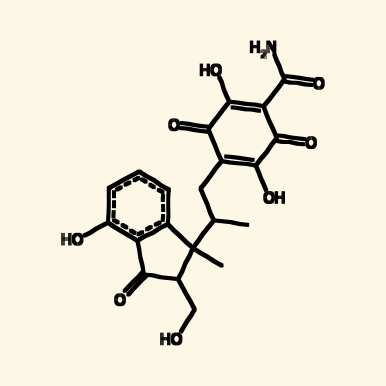 CC(CC1=C(O)C(=O)C(C(N)=O)=C(O)C1=O)C1(C)c2cccc(O)c2C(=O)C1CO